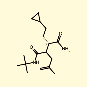 C=C(C)CC(C(=O)NC(C)(C)C)[C@H](CCC1CC1)C(N)=O